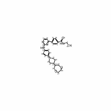 N#CCNC(=O)c1ccc(-c2ccnc(Nc3ccc(N4CCC(C5COCCOC5)CC4)cc3)n2)cc1